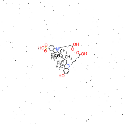 CC(C)(/C=C/C(C)(C)C1=[N+](CCCCCC(=O)O)c2ccc(S(=O)(=O)O)cc2C1(C)C)/C=C1/N(CCCCCC(=O)O)c2ccc(O)cc2C1(C)C